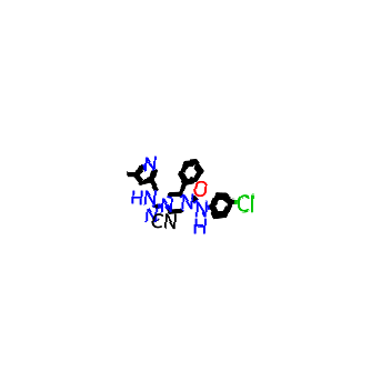 Cc1cncc(CN/C(=N/C#N)N2CCN(C(=O)Nc3ccc(Cl)cc3)C(c3ccccc3)C2)c1